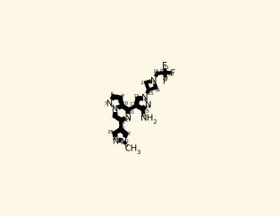 Cn1cc(-c2cn3nccc3c(-c3cn(C4CN(CC(F)(F)F)C4)nc3N)n2)cn1